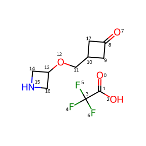 O=C(O)C(F)(F)F.O=C1CC(COC2CNC2)C1